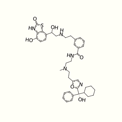 CN(CCNC(=O)c1cccc(CCNCC(O)c2ccc(O)c3[nH]c(=O)sc23)c1)CCc1cnc([C@](O)(c2ccccc2)C2CCCCC2)o1